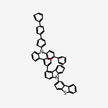 c1ccc(-c2ccc(-c3ccc(N(c4ccc(-c5ccccc5)cc4)c4ccccc4-c4cccc(-c5cccc6c5c5ccccc5n6-c5ccc6sc7ccccc7c6c5)c4)cc3)cc2)cc1